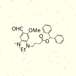 CCN(CCCC(=O)OC(c1ccccc1)c1ccccc1)c1cc(OC)c(C=O)cc1N(C)C